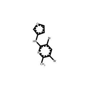 Cc1nc(Nc2[c]occ2)c(Br)cc1Br